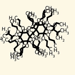 C=C(C)C(=O)OC1(OCCC)C(OCCC)(OCCC)C(OCCC)C(OCCC)(C(C)(C)C2(OCCC)C(OCCC)C(OCCC)(OCCC)C(OCCC)(OC(=O)C(=C)C)C(OCCC)(OCCC)C2(OCCC)OCCC)C(OCCC)(OCCC)C1(OCCC)OCCC